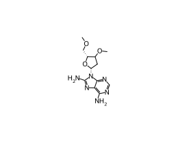 COC[C@H]1O[C@@H](n2c(N)nc3c(N)ncnc32)CC1OC